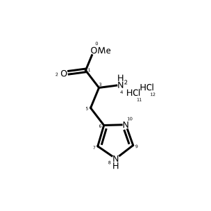 COC(=O)C(N)Cc1c[nH]cn1.Cl.Cl